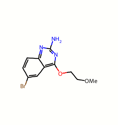 COCCOc1nc(N)nc2ccc(Br)cc12